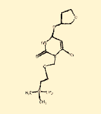 C[Si](C)(C)CCOCN1C(=O)NC(OC2CCOC2)C=C1Cl